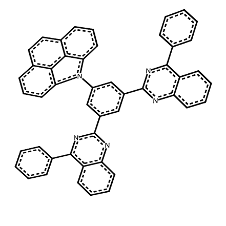 c1ccc(-c2nc(-c3cc(-c4nc(-c5ccccc5)c5ccccc5n4)cc(-n4c5cccc6ccc7cccc4c7c65)c3)nc3ccccc23)cc1